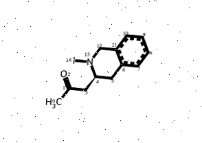 CC(=O)C[C@@H]1Cc2ccccc2CN1I